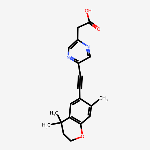 Cc1cc2c(cc1C#Cc1cnc(CC(=O)O)cn1)C(C)(C)CCO2